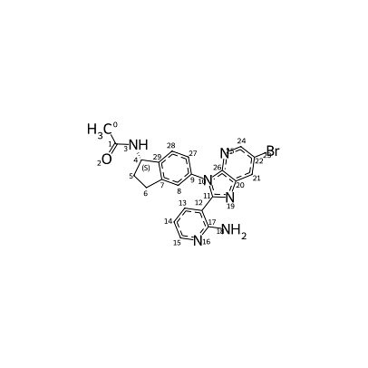 CC(=O)N[C@H]1CCc2cc(-n3c(-c4cccnc4N)nc4cc(Br)cnc43)ccc21